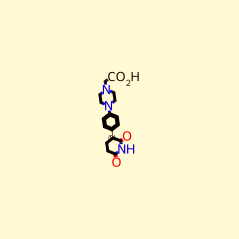 O=C(O)CN1CCN(c2ccc([C@H]3CCC(=O)NC3=O)cc2)CC1